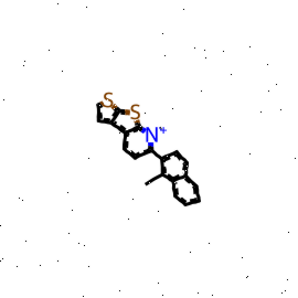 Cc1c(-c2ccc3c4ccsc4sc3[n+]2C)ccc2ccccc12